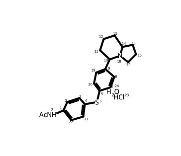 CC(=O)Nc1ccc(Sc2ccc(C3CCCC4CCCN43)cc2)cc1.Cl.O